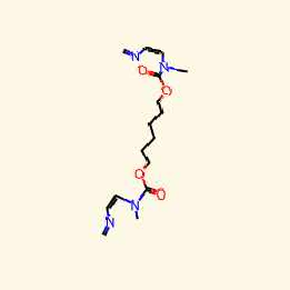 C=N/C=C\N(C)C(=O)OCCCCCCOC(=O)N(C)/C=C\N=C